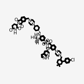 CC1(C)CCC(CN2CCN(c3ccc(C(=O)NS(=O)(=O)c4ccc(NC[C@H]5CC[C@H](N6CCN(Cc7ccc8c(c7)C(=O)N(C7CCC(=O)NC7=O)C8=O)CC6)CC5)c([NH+]([O-])O)c4)c(Oc4cnc5[nH]ccc5c4)c3)CC2)=C(c2ccc(Cl)cc2)C1